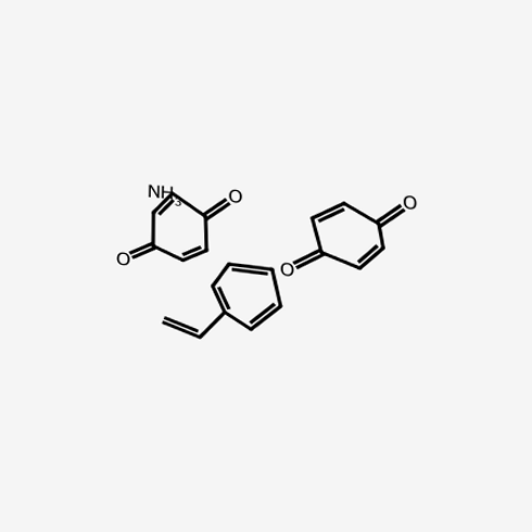 C=Cc1ccccc1.N.O=C1C=CC(=O)C=C1.O=C1C=CC(=O)C=C1